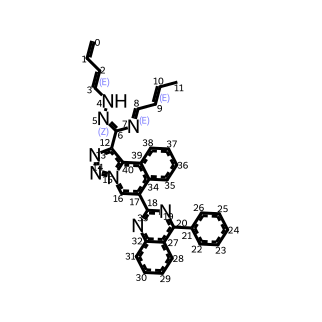 C=C/C=C/N\N=C(/N=C/C=C/C)c1nnn2cc(-c3nc(-c4ccccc4)c4ccccc4n3)c3ccccc3c12